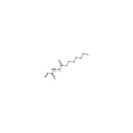 C=CC(=O)NOC(=O)CCCCCCC